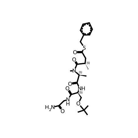 C[C@@H](CC(=O)SCc1ccccc1)C(=O)N(C)[C@@H](C)C(=O)N[C@@H](COC(C)(C)C)C(=O)NCC(N)=O